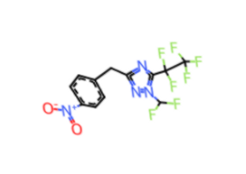 O=[N+]([O-])c1ccc(Cc2nc(C(F)(F)C(F)(F)F)n(C(F)F)n2)cc1